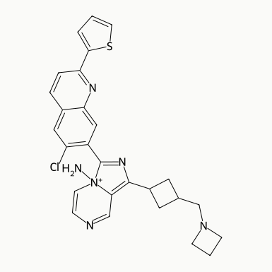 N[N+]12C=CN=CC1=C(C1CC(CN3CCC3)C1)N=C2c1cc2nc(-c3cccs3)ccc2cc1Cl